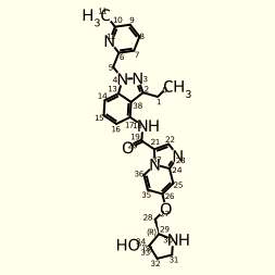 CCc1nn(Cc2cccc(C)n2)c2cccc(NC(=O)c3cnc4cc(OC[C@H]5NCC[C@@H]5O)ccn34)c12